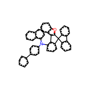 c1ccc(-c2ccc(N(c3cccc4c3-c3c(oc5ccccc35)C43c4ccccc4-c4ccccc43)c3cccc4ccccc34)cc2)cc1